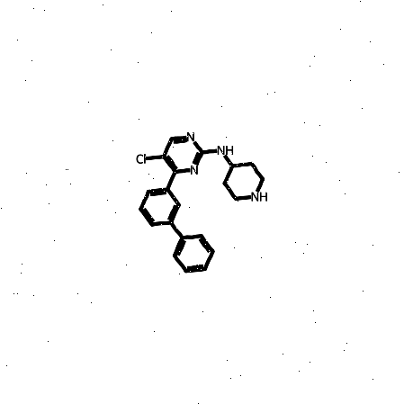 Clc1cnc(NC2CCNCC2)nc1-c1cccc(-c2ccccc2)c1